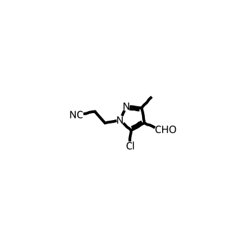 Cc1nn(CCC#N)c(Cl)c1C=O